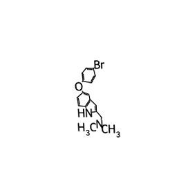 CN(C)Cc1cc2cc(Oc3ccc(Br)cc3)ccc2[nH]1